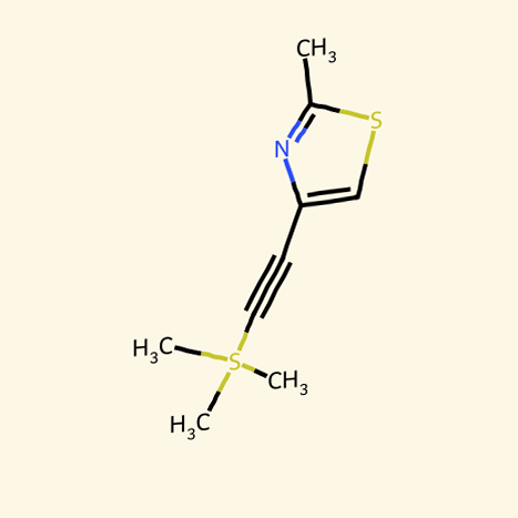 Cc1nc(C#CS(C)(C)C)cs1